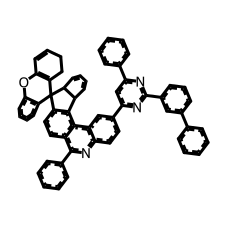 C1=CC2c3c(ccc4c(-c5ccccc5)nc5ccc(-c6cc(-c7ccccc7)nc(-c7cccc(-c8ccccc8)c7)n6)cc5c34)C3(C4=C(C=CCC4)Oc4ccccc43)C2C=C1